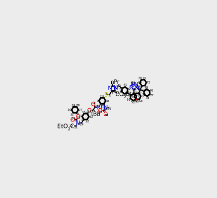 CCCc1nc(CSc2ccc(NC(=O)COc3ccc(CN(CC(=O)OCC)C(=O)Oc4ccccc4)cc3)c(N(C)C(=O)OC(C)(C)C)c2)c(C(=O)OCC)n1Cc1ccc(-c2ccccc2-c2nnnn2C(c2ccccc2)(c2ccccc2)c2ccccc2)cc1